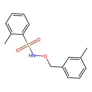 Cc1cccc(CONS(=O)(=O)c2ccccc2C)c1